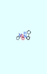 CN(C)C1C2CCC1C(OC(=O)Nc1ccccc1C1C=CC=CC1)C2